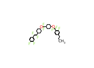 CCCc1ccc(C(F)(F)OC2CCC(C(F)(F)OC3CCC(/C(F)=C(\F)c4ccc(F)c(F)c4)CC3)CC2)c(F)c1